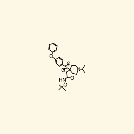 CC(C)N1CCC(CC(=O)NOC(C)(C)C)(S(=O)(=O)c2ccc(Oc3ccccc3)cc2)CC1